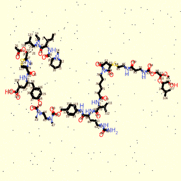 CC[C@H](C)[C@H](NC(=O)[C@H]1CCCCN1C)C(=O)N(CC)[C@H](C[C@@H](OC(C)=O)c1nc(C(=O)N[C@@H](Cc2ccc(OC(=O)N(C)CCN(C)C(=O)OCc3ccc(NC(=O)[C@H](CCCNC(N)=O)NC(=O)[C@@H](NC(=O)CCCCCN4C(=O)CC(SCCNC(=O)CCNC(=O)OCC(OC)OC(CO)CC(C)C)C4=O)C(C)C)cc3)cc2)C[C@H](C)C(=O)O)cs1)C(C)C